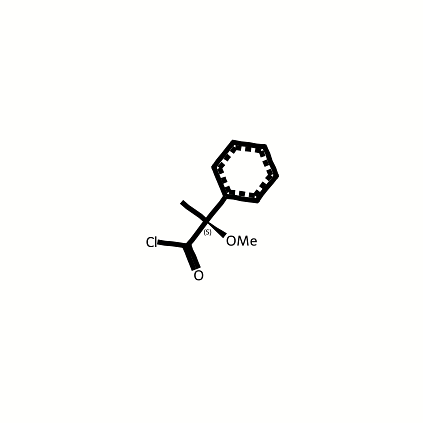 CO[C@](C)(C(=O)Cl)c1ccccc1